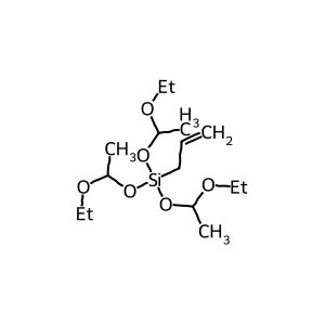 C=CC[Si](OC(C)OCC)(OC(C)OCC)OC(C)OCC